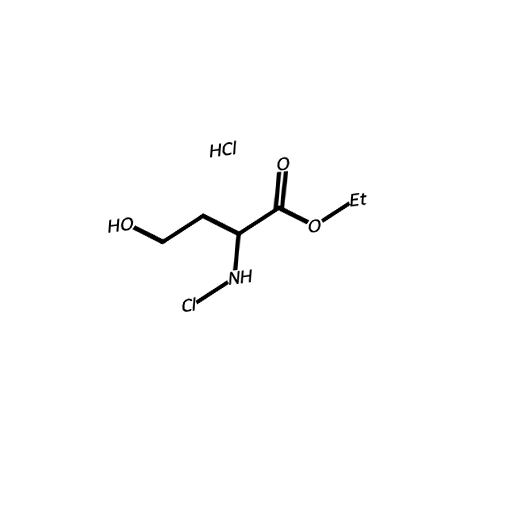 CCOC(=O)C(CCO)NCl.Cl